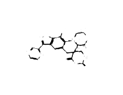 C[C@H]1CN2c3c(cc4c(-c5cnccn5)noc4c3Cl)CC3(C(=O)NC(=O)NC3=O)[C@@H]2[C@@H](C)O1